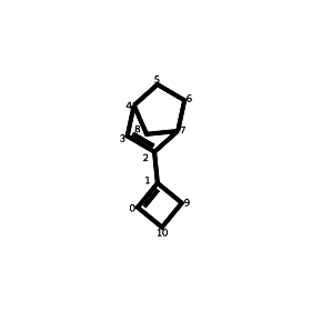 C1=C(C2=CC3CCC2C3)CC1